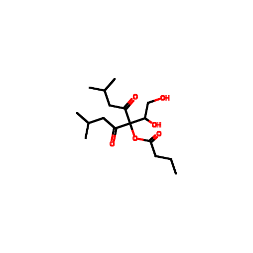 CCCC(=O)OC(C(=O)CC(C)C)(C(=O)CC(C)C)C(O)CO